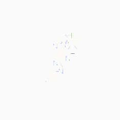 C#CCOc1cnc(C(=O)Nc2cc(F)c(F)c([C@@]3(CF)N=C(N)SC4C[C@H]43)c2)cn1